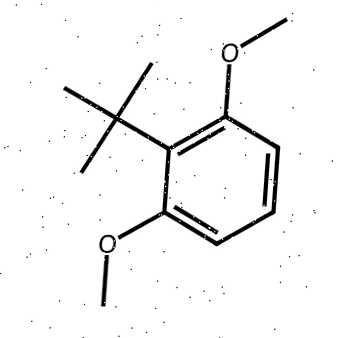 COc1cccc(OC)c1C(C)(C)C